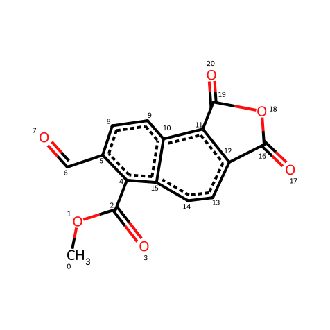 COC(=O)c1c(C=O)ccc2c3c(ccc12)C(=O)OC3=O